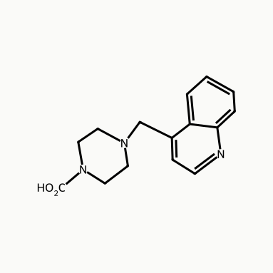 O=C(O)N1CCN(Cc2ccnc3ccccc23)CC1